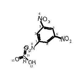 O=[N+]([O-])c1cc([N+](=O)[O-])cc([N+](=O)[O-])c1.O=[SH](=O)O